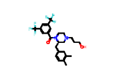 Cc1ccc(C[C@@H]2CN(CCCO)CCN2C(=O)c2cc(C(F)(F)F)cc(C(F)(F)F)c2)cc1C